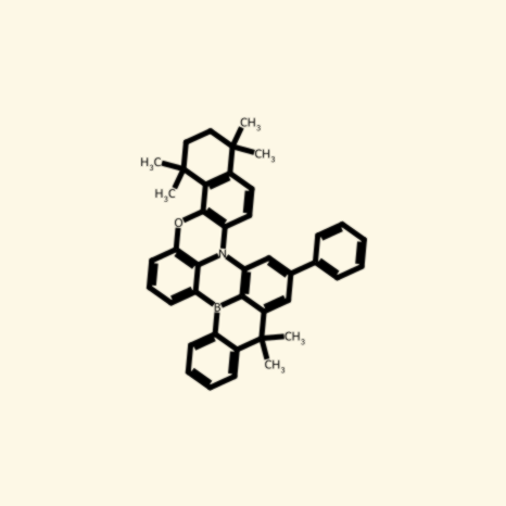 CC1(C)CCC(C)(C)c2c1ccc1c2Oc2cccc3c2N1c1cc(-c2ccccc2)cc2c1B3c1ccccc1C2(C)C